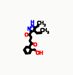 C=Cc1[nH]nc(C(=O)CCC(=O)c2ccccc2CO)c1/C=C\C